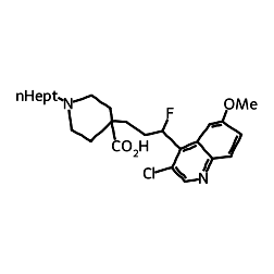 CCCCCCCN1CCC(CCC(F)c2c(Cl)cnc3ccc(OC)cc23)(C(=O)O)CC1